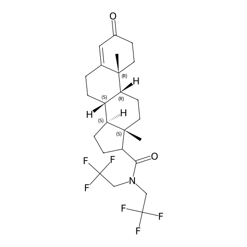 C[C@]12CCC(=O)C=C1CC[C@@H]1[C@H]2CC[C@]2(C)C(C(=O)N(CC(F)(F)F)CC(F)(F)F)CC[C@@H]12